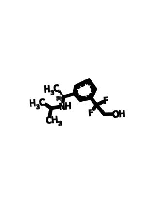 CC(C)N[C@H](C)c1cccc(C(F)(F)CO)c1